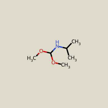 COC(NC(C)C)OC